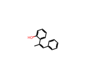 CC(=Cc1ccccc1)c1ccccc1O